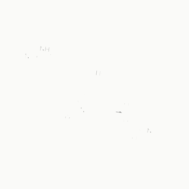 COc1ccc(-c2ccc(C(=N)N)cc2)cc1C(=O)N[C@H]1CC[C@H](C(=O)OCC(=O)N2CCCCC2)CC1.Cl